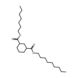 CCCCCCCCCOC(=O)C1CCCC(C(=O)OCCCCCCC)C1